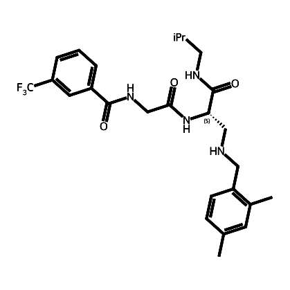 Cc1ccc(CNC[C@H](NC(=O)CNC(=O)c2cccc(C(F)(F)F)c2)C(=O)NCC(C)C)c(C)c1